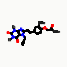 C#CCn1c(/C=C/c2ccc(OCC(=O)OC)c(OC)c2)nc2c1c(=O)n(CC)c(=O)n2CC